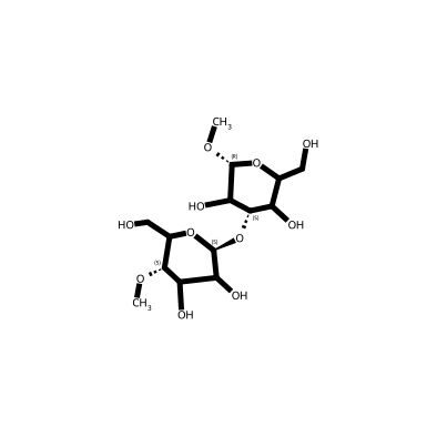 CO[C@@H]1OC(CO)C(O)[C@H](O[C@@H]2OC(CO)[C@@H](OC)C(O)C2O)C1O